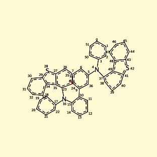 c1ccc(N(c2cccc(-c3ccccc3N(c3ccccc3)c3cccc4sc5ccccc5c34)c2)c2cccc3sc4ccccc4c23)cc1